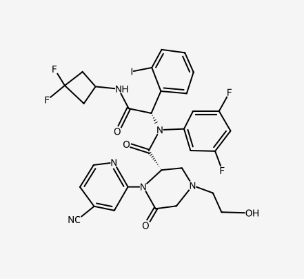 N#Cc1ccnc(N2C(=O)CN(CCO)C[C@H]2C(=O)N(c2cc(F)cc(F)c2)[C@H](C(=O)NC2CC(F)(F)C2)c2ccccc2I)c1